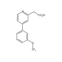 CCOC(=O)Cc1cc(-c2cccc(OC(F)(F)F)c2)ccn1